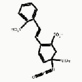 CC(=O)NC1(N=C=O)C=CC(C=Cc2ccccc2S(=O)(=O)O)=C(S(=O)(=O)O)C1